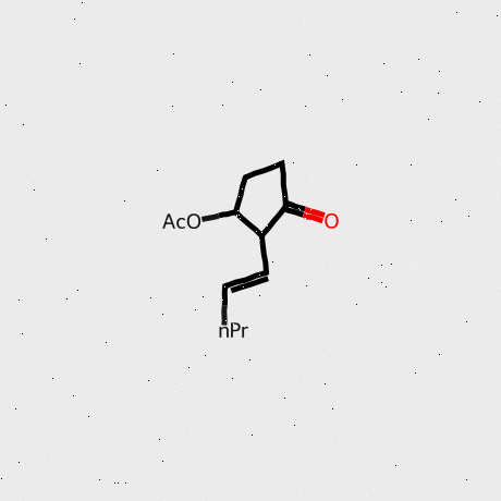 CCCC=CC1C(=O)CCC1OC(C)=O